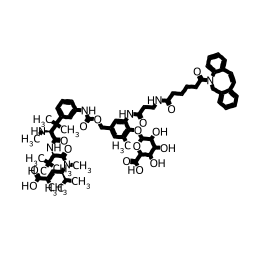 CN[C@H](C(=O)N[C@H](C(=O)N(C)[C@H](/C=C(\C)C(=O)O)C(C)C)C(C)(C)C)C(C)(C)c1cccc(NC(=O)OCc2cc(C)c(OC3OC(C(=O)O)C(O)C(O)C3O)c(NC(=O)CCNC(=O)CCCCC(=O)N3Cc4ccccc4/C=C\c4ccccc43)c2)c1